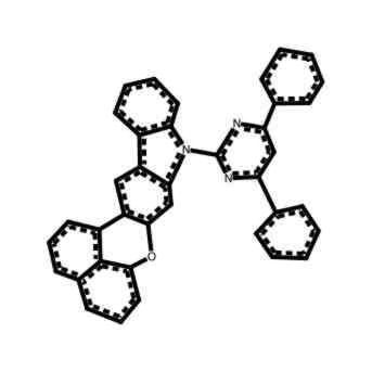 c1ccc(-c2cc(-c3ccccc3)nc(-n3c4ccccc4c4cc5c(cc43)Oc3cccc4cccc-5c34)n2)cc1